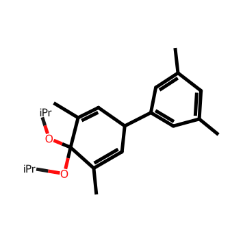 CC1=CC(c2cc(C)cc(C)c2)C=C(C)C1(OC(C)C)OC(C)C